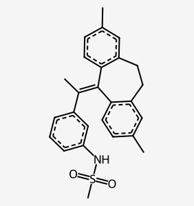 CC(=C1c2ccc(C)cc2CCc2cc(C)ccc21)c1cccc(NS(C)(=O)=O)c1